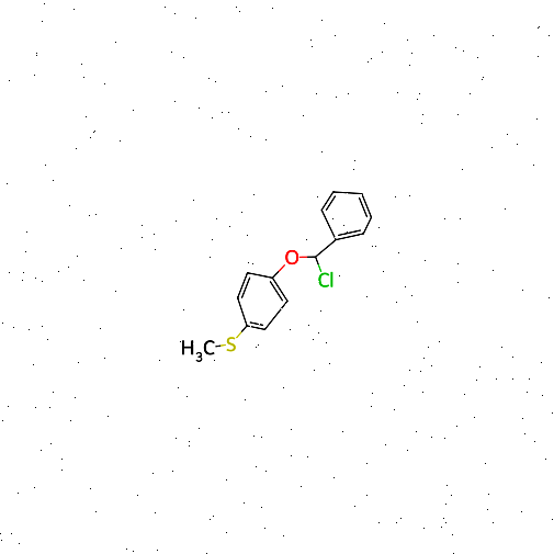 CSc1ccc(OC(Cl)c2ccccc2)cc1